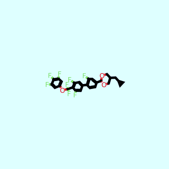 Fc1cc(C2OCC(CC3CC3)CO2)ccc1-c1cc(F)c(C(F)(F)Oc2cc(F)c(F)c(F)c2)c(F)c1